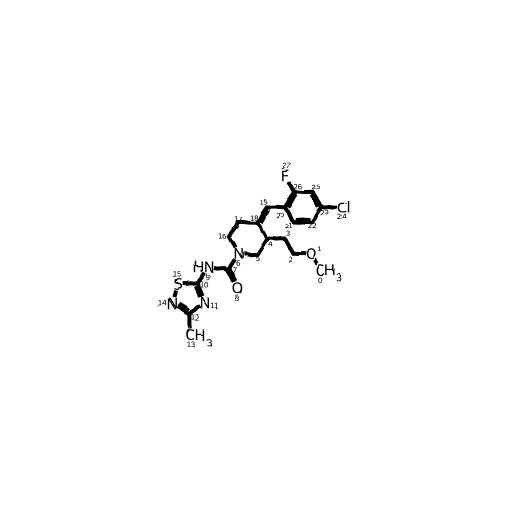 COCCC1CN(C(=O)Nc2nc(C)ns2)CC/C1=C/c1ccc(Cl)cc1F